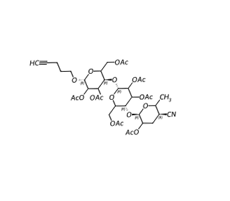 C#CCCCO[C@@H]1OC(COC(C)=O)[C@@H](O[C@H]2OC(COC(C)=O)[C@@H](O[C@H]3OC(C)[C@@H](C#N)CC3OC(C)=O)C(OC(C)=O)C2OC(C)=O)C(OC(C)=O)C1OC(C)=O